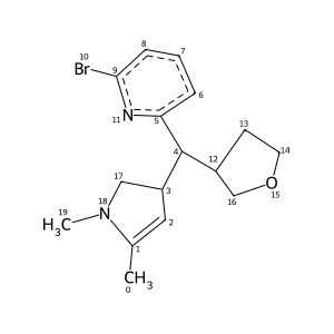 CC1=CC(C(c2cccc(Br)n2)C2CCOC2)CN1C